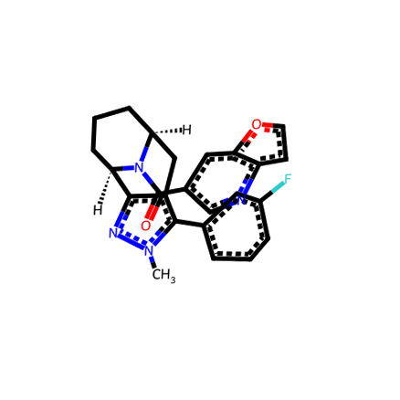 Cn1nc2c(c1-c1cccc(F)c1)C[C@@H]1CCC[C@H]2N1C(=O)c1cnc2ccoc2c1